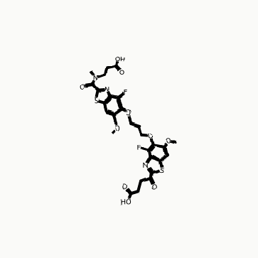 COc1cc2sc(C(=O)CCC(=O)O)nc2c(F)c1OCCCOc1c(OC)cc2sc(C(=O)N(C)CCC(=O)O)nc2c1F